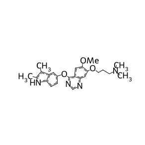 COc1cc2c(Oc3ccc4[nH]c(C)c(C)c4c3)ncnc2cc1OCCCN(C)C